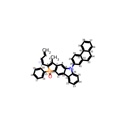 C=C/C=C\C1=C(C)c2cc3c(cc2P1(=O)c1ccccc1)c1ccccc1n3-c1ccc2c(ccc3ccccc32)c1